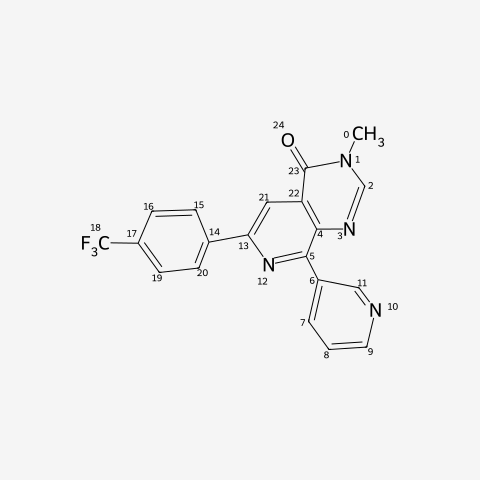 Cn1cnc2c(-c3cccnc3)nc(-c3ccc(C(F)(F)F)cc3)cc2c1=O